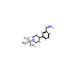 C[Si](C)(C)N1CCC(c2cccc(CN)c2)CC1